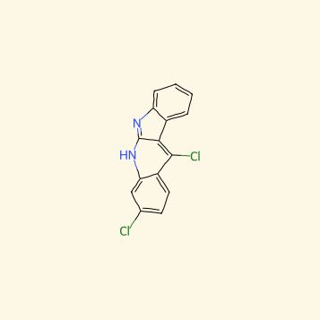 Clc1ccc2c(Cl)c3c4ccccc4nc-3[nH]c2c1